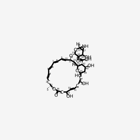 C[C@@H]1C/C=C/C=C/C=C/C=C/[C@H](O[C@@H]2O[C@@H]3NC3C(O)C2O)C[C@@H]2O[C@](O)(C[C@@H](O)C/C=C/C(O)CC(=O)O1)C[C@H](O)[C@H]2C(=O)O